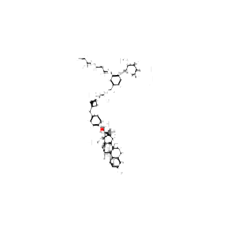 C[C@]12C=CC(=O)C=C1CC[C@@H]1[C@@H]2[C@@H](O)C[C@@]2(C)[C@H]1C[C@H]1O[C@@H](c3ccc(CC45CC(NC(=O)OCc6ccc(O[C@@H]7O[C@H](C(=O)O)[C@@H](O)[C@H](O)[C@H]7O)c(NC(=O)CCNC(=O)CBr)c6)(C4)C5)cc3)O[C@]12C(=O)CO